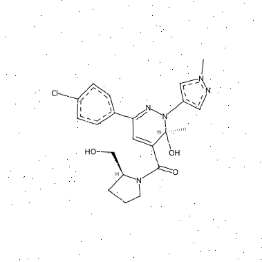 Cn1cc(N2N=C(c3ccc(Cl)cc3)C=C(C(=O)N3CCC[C@H]3CO)[C@]2(C)O)cn1